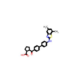 Cc1cc(C)c2sc(Nc3ccc(-c4ccc(C(=O)C5CCCC5C(=O)O)cc4)cc3)nc2c1